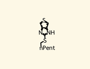 CCCCCCSc1nc2cscc2[nH]1